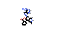 Cc1cc(-c2c(C(C)n3ncc4c(N)ncnc43)oc(=O)c3ccccc23)ccn1